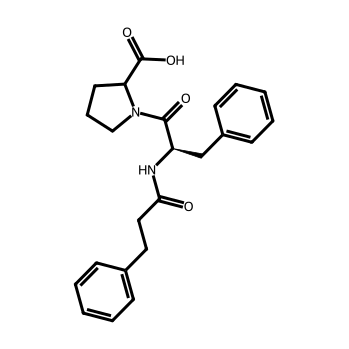 O=C(CCc1ccccc1)N[C@H](Cc1ccccc1)C(=O)N1CCCC1C(=O)O